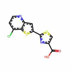 O=C(O)c1csc(-c2cc3nccc(Cl)c3s2)n1